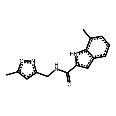 Cc1cc(CNC(=O)c2cc3cccc(C)c3[nH]2)no1